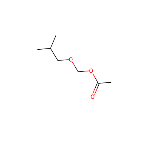 CC(=O)OCOCC(C)C